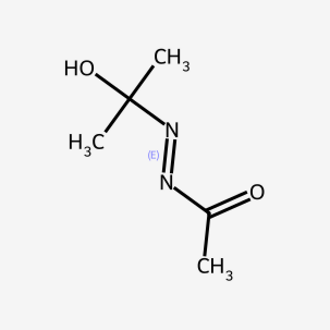 CC(=O)/N=N/C(C)(C)O